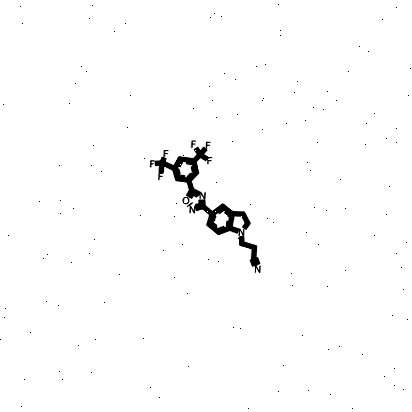 N#CCCN1CCc2cc(-c3noc(-c4cc(C(F)(F)F)cc(C(F)(F)F)c4)n3)ccc21